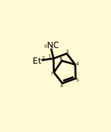 [C-]#[N+]C1(CC)CC2C=CC1C2